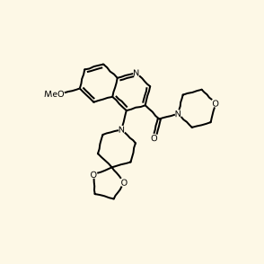 COc1ccc2ncc(C(=O)N3CCOCC3)c(N3CCC4(CC3)OCCO4)c2c1